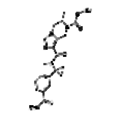 COC(=O)c1cccc(C2(N(C)C(=O)c3ncn4c3CN(C(=O)OC(C)(C)C)C(C)C4)CC2)c1